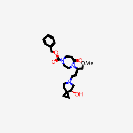 COCC(CCN1CCC2(CC2)[C@H](O)C1)N1CCN(C(=O)OCc2ccccc2)CCC1=O